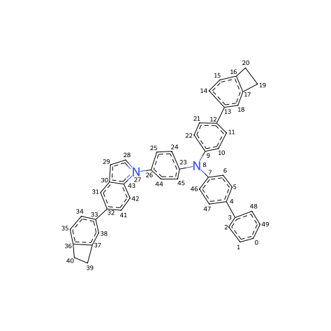 c1ccc(-c2ccc(N(c3ccc(-c4ccc5c(c4)CC5)cc3)c3ccc(-n4ccc5cc(-c6ccc7c(c6)CC7)ccc54)cc3)cc2)cc1